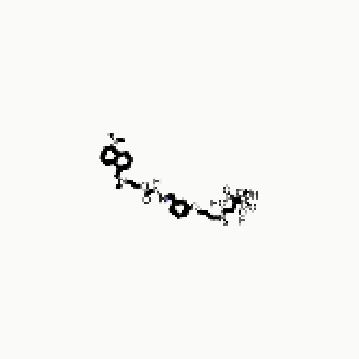 CN(CCCOc1cccc(/C=N/NC(=O)OCCN(C)Cc2cccc3c(N(C)C)cccc23)c1)CCC(O)([PH](=O)O)P(=O)(O)O